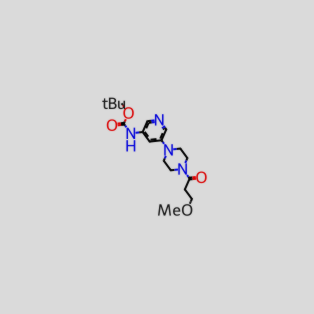 COCCC(=O)N1CCN(c2cncc(NC(=O)OC(C)(C)C)c2)CC1